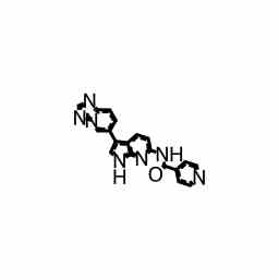 O=C(Nc1ccc2c(-c3ccc4ncnn4c3)c[nH]c2n1)c1ccncc1